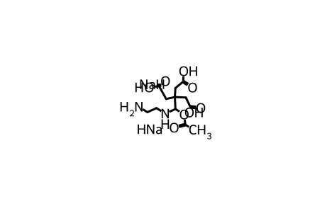 CC(=O)OC(NCCN)C(CC(=O)O)(CC(=O)O)CC(=O)O.[NaH].[NaH]